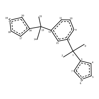 CC(C)(c1ccsc1)c1cccc(C(C)(C)c2ccsc2)c1